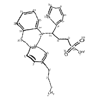 CCCCc1ccc2c(c1)N(C(CCS(=O)(=O)O)c1ccccn1)c1ccccc1S2